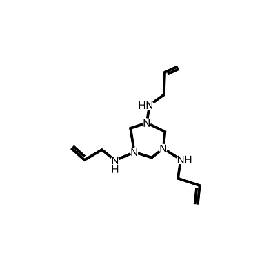 C=CCNN1CN(NCC=C)CN(NCC=C)C1